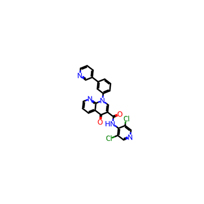 O=C(Nc1c(Cl)cncc1Cl)c1cn(-c2cccc(-c3cccnc3)c2)c2ncccc2c1=O